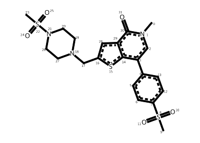 Cn1cc(-c2ccc(S(C)(=O)=O)cc2)c2sc(CN3CCN(S(C)(=O)=O)CC3)cc2c1=O